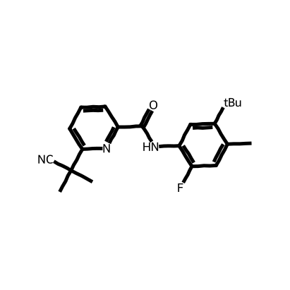 Cc1cc(F)c(NC(=O)c2cccc(C(C)(C)C#N)n2)cc1C(C)(C)C